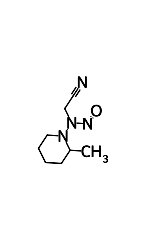 CC1CCCCN1N(CC#N)N=O